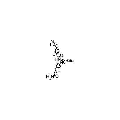 CC(C)(C)c1cc(NC(=O)Nc2ccc(Oc3cccnc3)cc2)n(-c2ccc(CNCC(N)=O)cc2)n1